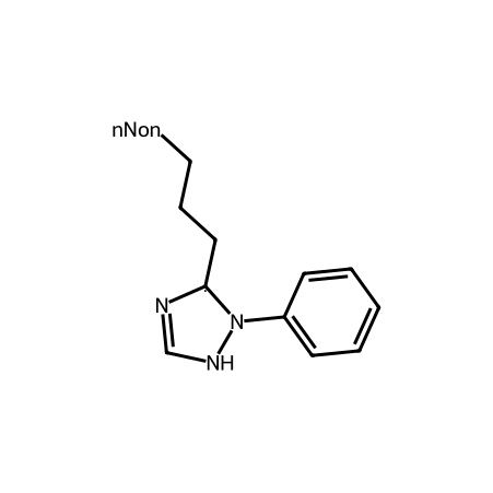 CCCCCCCCCCCC[C]1N=CNN1c1ccccc1